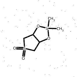 C[Si]1(C)OC2CS(=O)(=O)CC2O1